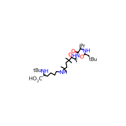 CC(C)[C@H](NC(=O)CC(C)(C)C)C(=O)N[C@@H](C)C(=O)C(C)(C)CCC(C)(C)NCCCC[C@@H](NC(C)(C)C)C(=O)O